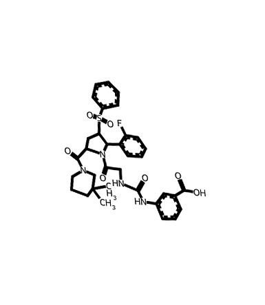 CC1(C)CCCN(C(=O)C2CC(S(=O)(=O)c3ccccc3)C(c3ccccc3F)N2C(=O)CNC(=O)Nc2cccc(C(=O)O)c2)C1